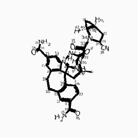 C[C@@H](CC1(c2n[nH]c(=O)[nH]2)c2ccc(C(N)=O)cc2CCc2cc(C(N)=O)ccc21)NCC(=O)N1[C@H](C#N)C[C@@H]2C[C@@H]21